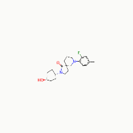 Cc1ccc(N2CCCC3(CCN([C@H]4CC[C@H](O)CC4)C3=O)C2)c(F)c1